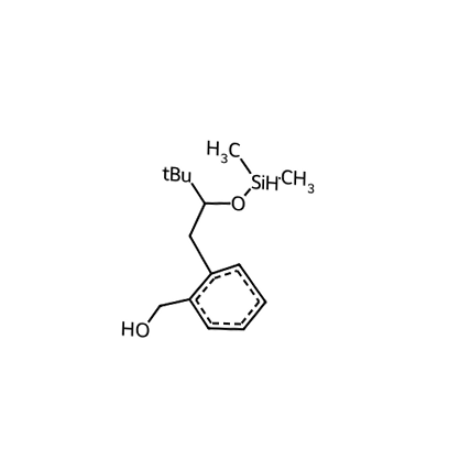 C[SiH](C)OC(Cc1ccccc1CO)C(C)(C)C